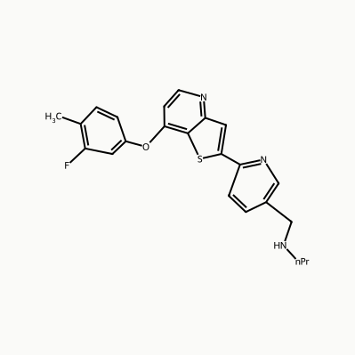 CCCNCc1ccc(-c2cc3nccc(Oc4ccc(C)c(F)c4)c3s2)nc1